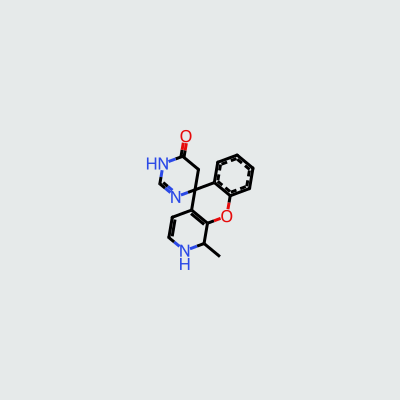 CC1NC=CC2=C1Oc1ccccc1C21CC(=O)NC=N1